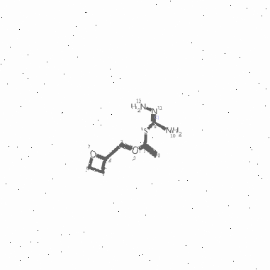 C=C(OCC1CCO1)S/C(N)=N\N